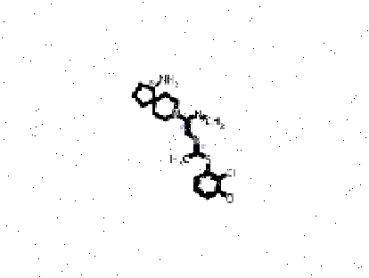 C=N/C(=C\N=C(/C)Sc1cccc(Cl)c1Cl)N1CCC2(CCC[C@H]2N)CC1